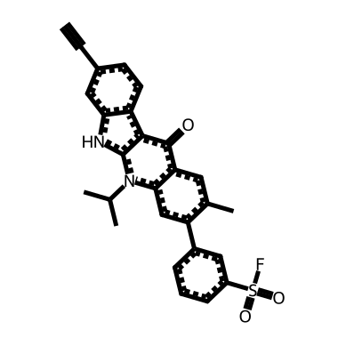 C#Cc1ccc2c(c1)[nH]c1c2c(=O)c2cc(C)c(-c3cccc(S(=O)(=O)F)c3)cc2n1C(C)C